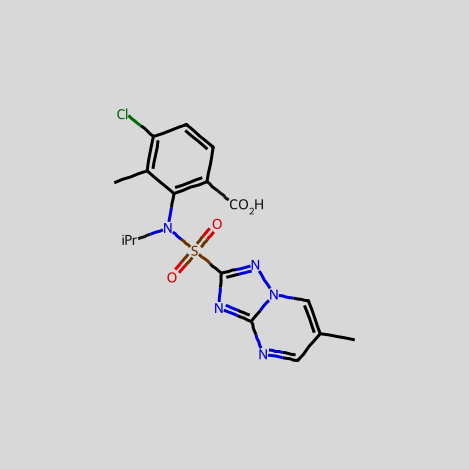 Cc1cnc2nc(S(=O)(=O)N(c3c(C(=O)O)ccc(Cl)c3C)C(C)C)nn2c1